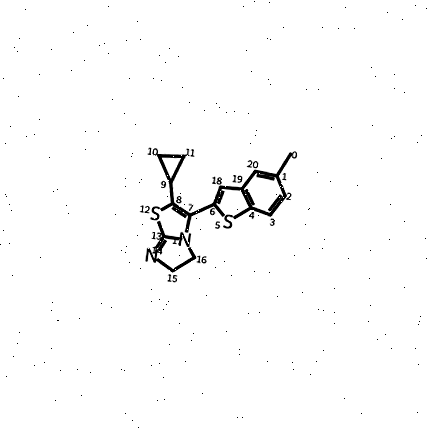 Cc1ccc2sc(C3=C(C4CC4)SC4=NCCN43)cc2c1